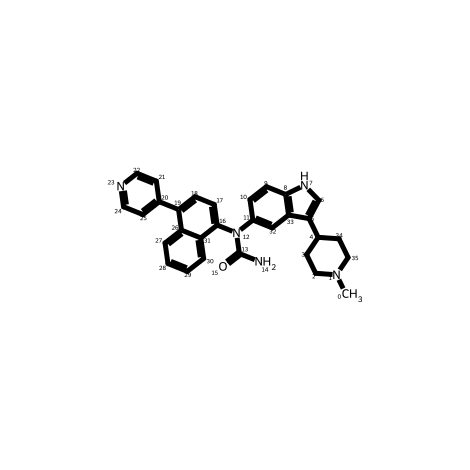 CN1CCC(c2c[nH]c3ccc(N(C(N)=O)c4ccc(-c5ccncc5)c5ccccc45)cc23)CC1